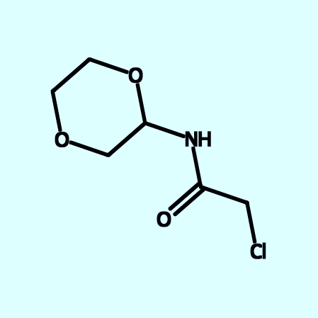 O=C(CCl)NC1COCCO1